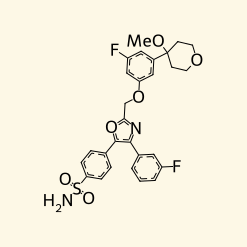 COC1(c2cc(F)cc(OCc3nc(-c4cccc(F)c4)c(-c4ccc(S(N)(=O)=O)cc4)o3)c2)CCOCC1